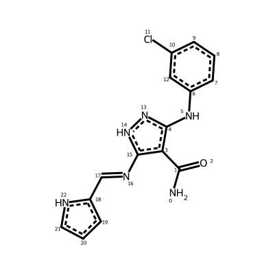 NC(=O)c1c(Nc2cccc(Cl)c2)n[nH]c1/N=C/c1ccc[nH]1